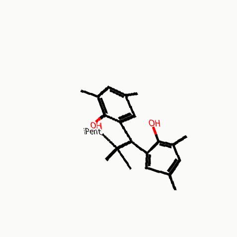 CCCC(C)C(C)(C)C(c1cc(C)cc(C)c1O)c1cc(C)cc(C)c1O